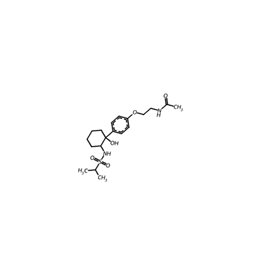 CC(=O)NCCOc1ccc(C2(O)CCCCC2NS(=O)(=O)C(C)C)cc1